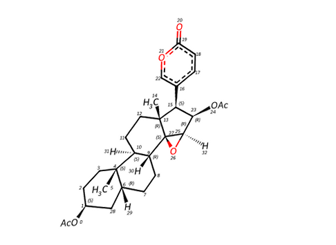 CC(=O)O[C@H]1CC[C@@]2(C)[C@H](CC[C@@H]3[C@@H]2CC[C@]2(C)[C@@H](c4ccc(=O)oc4)[C@@H](OC(C)=O)[C@H]4O[C@]342)C1